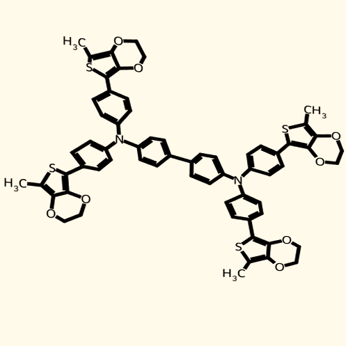 Cc1sc(-c2ccc(N(c3ccc(-c4ccc(N(c5ccc(-c6sc(C)c7c6OCCO7)cc5)c5ccc(-c6sc(C)c7c6OCCO7)cc5)cc4)cc3)c3ccc(-c4sc(C)c5c4OCCO5)cc3)cc2)c2c1OCCO2